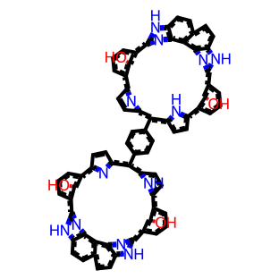 Oc1c2cccc1c1nc3c(ccc4ccc5[nH]c(nc5c43)c3cccc(c3O)c3ccc([nH]3)c(-c3ccc(-c4c5nc(c6cccc(c6O)c6nc7c(ccc8ccc9[nH]c(nc9c87)c7cccc(c7O)c7ccc4[nH]7)[nH]6)C=C5)cc3)c3nc2C=C3)[nH]1